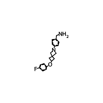 NCc1ccc(N2CC3(CC(Oc4ccc(F)cc4)C3)C2)cc1